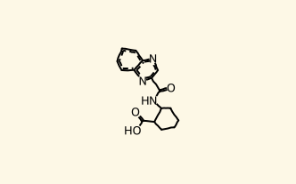 O=C(NC1CCCCC1C(=O)O)c1cnc2ccccc2n1